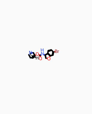 O=C(NC1COc2cc(Br)ccc21)O[C@H]1CN2CCC1CC2